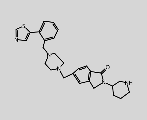 O=C1c2ccc(CN3CCN(Cc4ccccc4-c4cncs4)CC3)cc2CN1C1CCCNC1